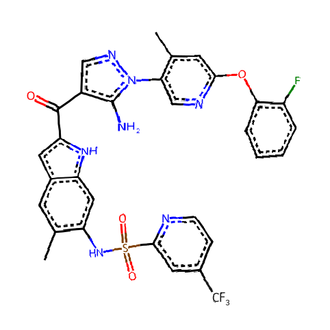 Cc1cc2cc(C(=O)c3cnn(-c4cnc(Oc5ccccc5F)cc4C)c3N)[nH]c2cc1NS(=O)(=O)c1cc(C(F)(F)F)ccn1